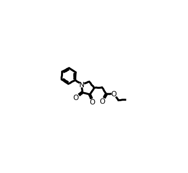 CCOC(=O)CC1CN(c2ccccc2)C(=O)C1=O